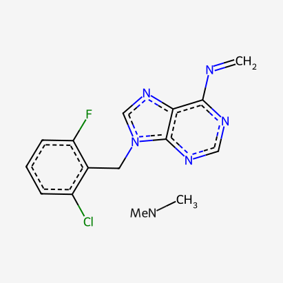 C=Nc1ncnc2c1ncn2Cc1c(F)cccc1Cl.CNC